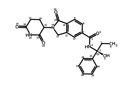 CC[C@@](O)(NC(=O)c1ccc2c(c1)CN(C1CCC(=O)NC1=O)C2=O)c1ccccc1